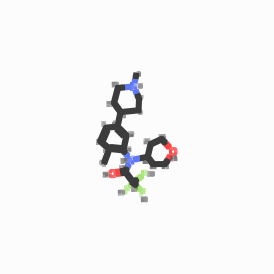 [CH2]c1ccc(C2CCN(C)CC2)cc1N(C(=O)C(F)(F)F)C1CCOCC1